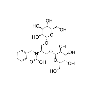 O=C(O)N(Cc1ccccc1)C(CO[C@H]1O[C@H](CO)[C@@H](O)[C@H](O)[C@@H]1O)CO[C@H]1O[C@H](CO)[C@@H](O)[C@H](O)[C@@H]1O